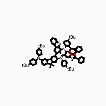 CC(C)(C)c1ccc(N2B3c4cc5sc(-c6ccccc6)c(-c6ccccc6)c5cc4N(c4ccc(C(C)(C)C)cc4-c4ccccc4)c4c3c(cc3c4sc4ccccc43)-c3cc4c(cc32)C(C)(C)c2ccc(N(c3ccc(C(C)(C)C)cc3)c3ccc(C(C)(C)C)cc3)cc2-4)cc1